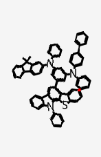 CC1(C)c2ccccc2-c2ccc(N(c3ccccc3)c3cc(-c4cc5c6ccccc6n(-c6ccccc6)c5c5sc6ccccc6c45)cc(N(c4ccccc4)c4ccc(-c5ccccc5)cc4)c3)cc21